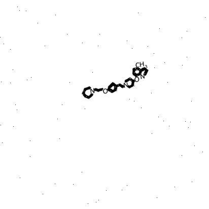 Cc1ccc(OC2CCN(CCc3ccc(OCCCN4CCCCCC4)cc3)CC2)c2ncccc12